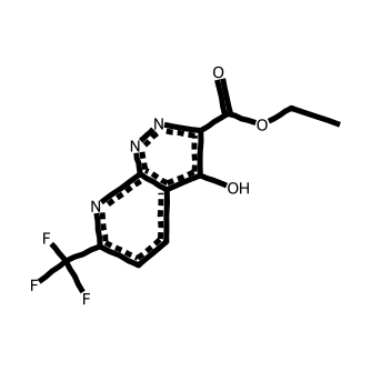 CCOC(=O)c1nnc2nc(C(F)(F)F)ccc2c1O